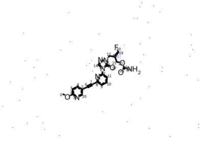 COc1ccc(C#Cc2cccc(-n3cnn(C/C(=C\F)COC(N)=O)c3=O)n2)cn1